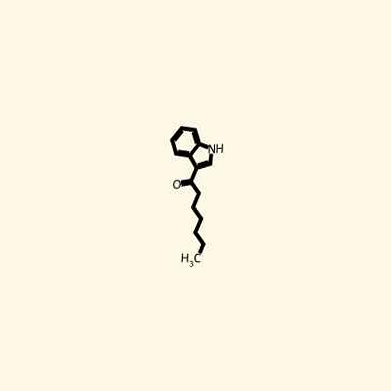 CCCCCCC(=O)c1c[nH]c2ccccc12